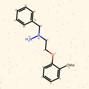 COc1ccccc1OCCN(N)Cc1ccccc1